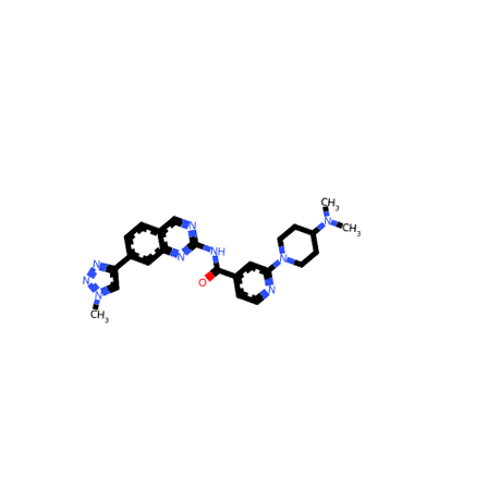 CN(C)C1CCN(c2cc(C(=O)Nc3ncc4ccc(-c5cn(C)nn5)cc4n3)ccn2)CC1